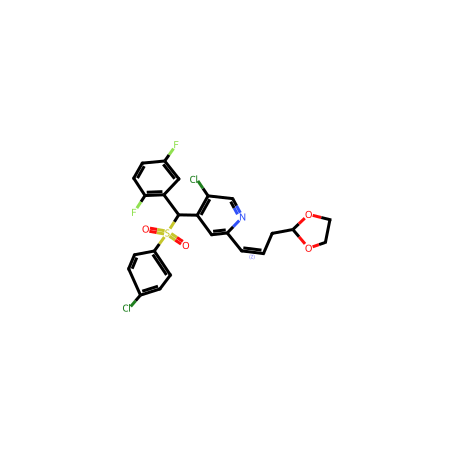 O=S(=O)(c1ccc(Cl)cc1)C(c1cc(F)ccc1F)c1cc(/C=C\CC2OCCO2)ncc1Cl